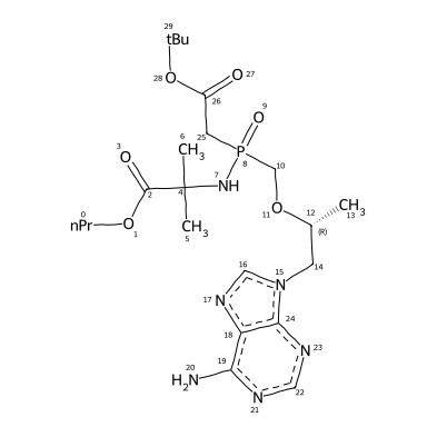 CCCOC(=O)C(C)(C)NP(=O)(CO[C@H](C)Cn1cnc2c(N)ncnc21)CC(=O)OC(C)(C)C